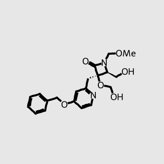 COCN1C(=O)[C@](Cc2cc(OCc3ccccc3)ccn2)(OCO)[C@@H]1CO